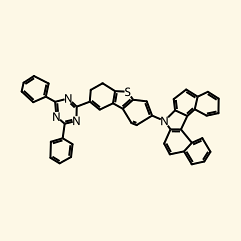 C1=C(c2nc(-c3ccccc3)nc(-c3ccccc3)n2)CCc2sc3cc(-n4c5ccc6ccccc6c5c5c6ccccc6ccc54)ccc3c21